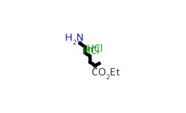 CCOC(=O)C(C)CCCCCN.Cl.Cl